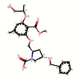 COC(=O)c1c(OC[C@H]2C[C@H](OCc3ccccc3)CN2C(=O)O)cc(C)cc1OC(C)CO